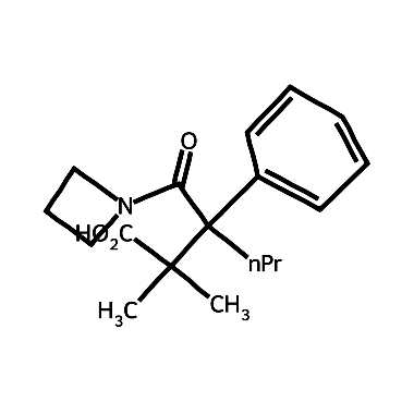 CCCC(C(=O)N1CCC1)(c1ccccc1)C(C)(C)C(=O)O